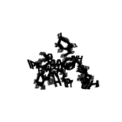 CC(C)CC[C@H](NC(=O)[C@H](CCc1ccccc1)NC(=O)CN1CC([Si](C)(C)O)C1)C(=O)N[C@@H](Cc1ccccc1)C(=O)N[C@@H](CC(C)C)C(=O)[C@@]1(C)CO1